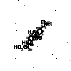 CCN(CC)CCc1ccc(S(=O)(=O)Oc2ccc3[nH]c(N(C)C(=O)O)nc3c2)c(N)c1